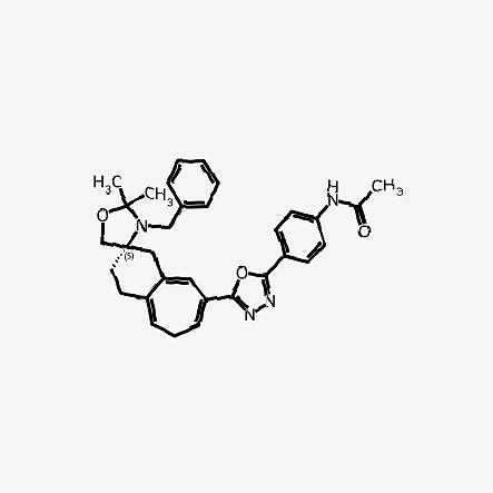 CC(=O)Nc1ccc(-c2nnc(C3=CCC=C4CC[C@@]5(COC(C)(C)N5Cc5ccccc5)CC4=C3)o2)cc1